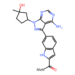 CNC(=O)c1cc2ccc(-c3nn(C4CCC(C)(O)C4)c4ncnc(N)c34)cc2[nH]1